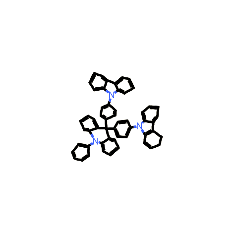 C1=Cc2c(c3ccccc3n2-c2ccc(C3(c4ccc(-n5c6ccccc6c6ccccc65)cc4)c4ccccc4N(c4ccccc4)c4ccccc43)cc2)CC1